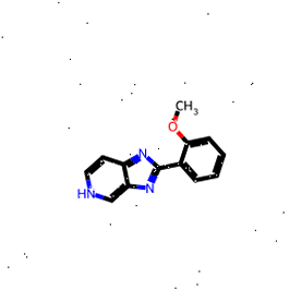 COc1ccccc1-c1nc2cc[nH]cc-2n1